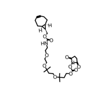 CC(C)(CCOC(=O)ON1C(=O)CCC1=O)OCCC(C)(C)OCCOCCNC(=O)OC[C@@H]1[C@@H]2CCC#CCC[C@@H]21